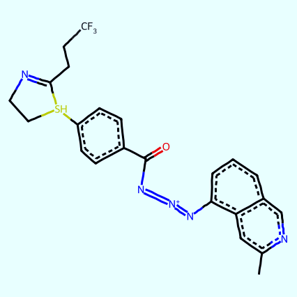 Cc1cc2c(N=[N+]=NC(=O)c3ccc([SH]4CCN=C4CCC(F)(F)F)cc3)cccc2cn1